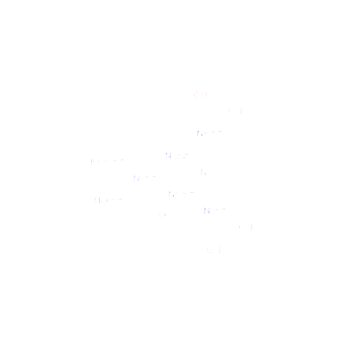 [O-][n+]1c(N(CO)CO)nc(N(CO)CO)nc1N(CO)CO